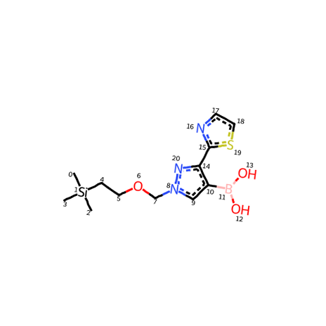 C[Si](C)(C)CCOCn1cc(B(O)O)c(-c2nccs2)n1